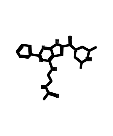 CC(=O)NCCNc1nc(-c2ccccc2)nc2[nH]c(C(=O)N3CC(C)NC(C)C3)cc12